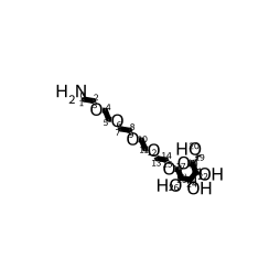 NCCOCCOCCOCCOCCOC1O[C@H](CO)[C@@H](O)[C@H](O)[C@@H]1O